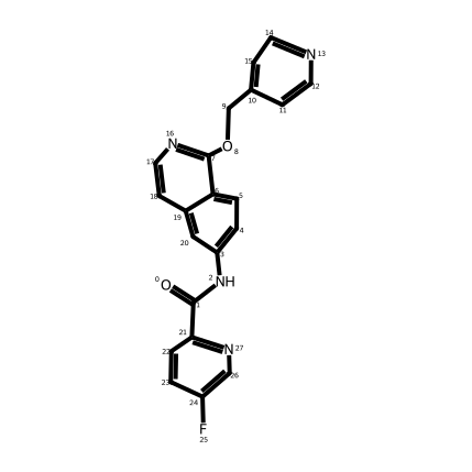 O=C(Nc1ccc2c(OCc3ccncc3)nccc2c1)c1ccc(F)cn1